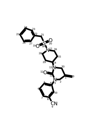 C=C1CN(c2cccc(C#N)c2)C(=O)N(C2CCN(S(=O)(=O)Cc3ccccc3)CC2)C1